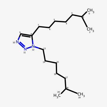 CC(C)CCCCCc1cnnn1CCCCCC(C)C